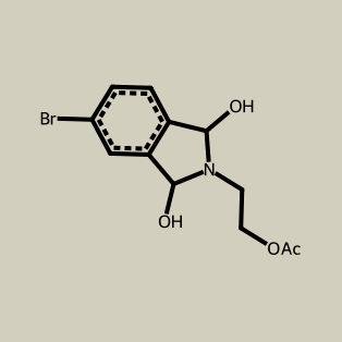 CC(=O)OCCN1C(O)c2ccc(Br)cc2C1O